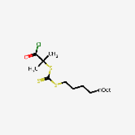 CCCCCCCCCCCCSC(=S)SC(C)(C)C(=O)Cl